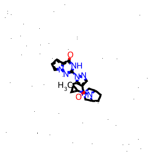 Cc1c(C(=O)N2C3CCC2CN(C2CC2)C3)cnn1-c1nn2cccc2c(=O)[nH]1